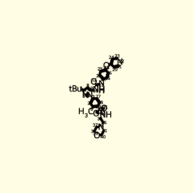 Cc1cc(-n2nc(C(C)(C)C)cc2NC(=O)Nc2ccc(Oc3ccncc3)cc2)ccc1S(=O)(=O)NCCN1CCOCC1